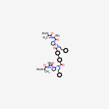 CN[C@@H](C)C(=O)N[C@H](C(=O)N1CCC[C@H]1CN(CCc1ccccc1)C(=O)c1ccc(-c2ccc(C(=O)N(CCc3ccccc3)C[C@@H]3CCCN3C(=O)[C@@H](NC(=O)[C@H](C)NC)C(C)(C)C)cc2)cc1)C(C)(C)C